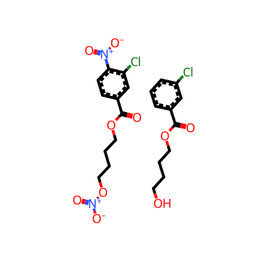 O=C(OCCCCO)c1cccc(Cl)c1.O=C(OCCCCO[N+](=O)[O-])c1ccc([N+](=O)[O-])c(Cl)c1